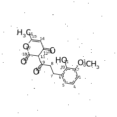 COc1cccc(CCC(=O)C2C(=O)C=C(C)OC2=O)c1O